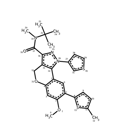 COc1cc2c(cc1-c1ccc(C)s1)-c1c(c(C(=O)N(C)C(C)(C)C)nn1-c1ccsc1)CO2